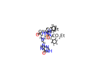 CCOC(=O)[C@H](Cc1ccccc1)NP(=O)(CCN(CCC(=O)OC)CCn1cnc2c(=O)[nH]cnc21)N[C@@H](Cc1ccccc1)C(=O)OCC